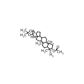 CC(=O)OC1CCC2(C)C(CCC3(C)C4CCC5(NC(=O)OC(C)(C)C)CCCC5C4CCC32)C1(C)C